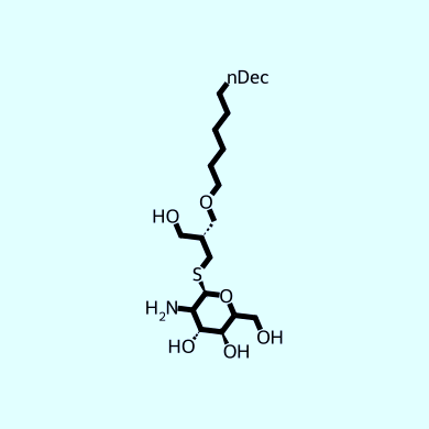 CCCCCCCCCCCCCCCCOC[C@@H](CO)CS[C@H]1OC(CO)[C@@H](O)[C@H](O)C1N